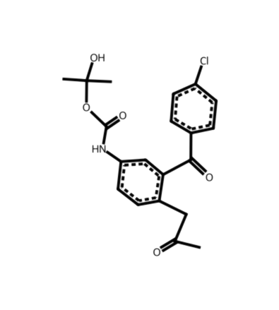 CC(=O)Cc1ccc(NC(=O)OC(C)(C)O)cc1C(=O)c1ccc(Cl)cc1